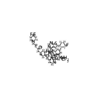 Cc1c(-c2c(-c3ccc(F)cc3)sc3ncnc(O[C@H](Cc4cc(CC(=O)CCCN5CCC(F)(F)CC5)ccc4OCc4ccnc(OCCC(F)(F)F)n4)C(=O)O)c23)ccc(CN)c1Cl